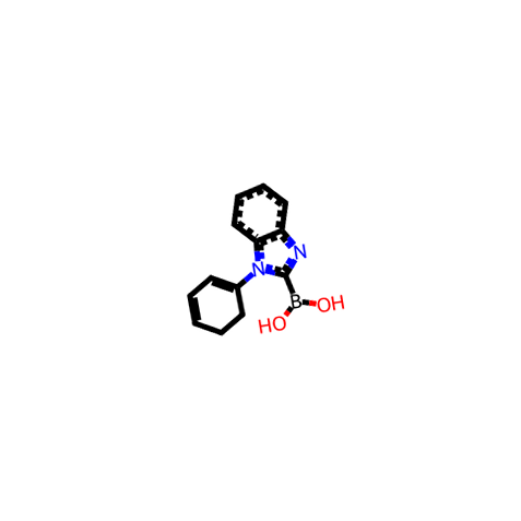 OB(O)c1nc2ccccc2n1C1=CC=CCC1